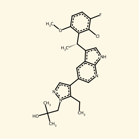 CCc1c(-c2cnc3[nH]cc([C@H](C)c4c(OC)ccc(F)c4Cl)c3c2)cnn1CC(C)(C)O